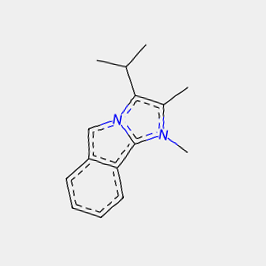 Cc1c(C(C)C)n2cc3ccccc3c2n1C